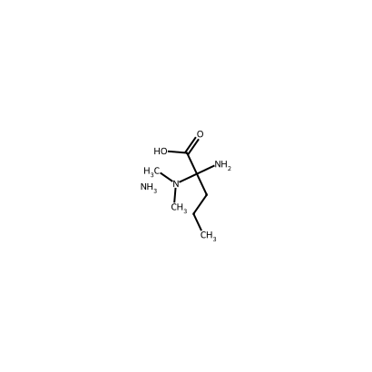 CCCC(N)(C(=O)O)N(C)C.N